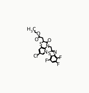 CCOC(=O)CC1Sc2cc(Cl)cnc2N(Cc2nc3c(F)c(F)cc(F)c3s2)C1=O